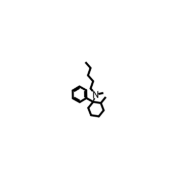 CCCCCN(C)[C@]1(c2ccccc2)CCCCC1C